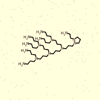 NCCCN(CCCN)CCCN(CCCN(CCCN)CCCN)CCCN(CCCN(CCCN)CCCN)CCCN1CCCN1CCN